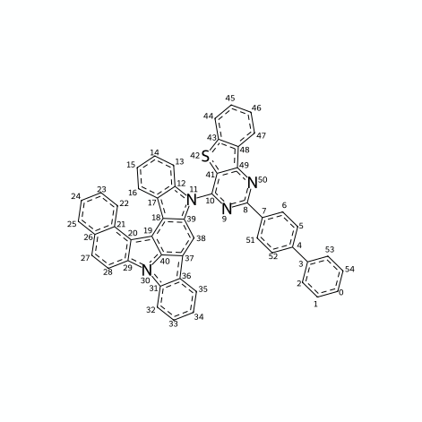 c1ccc(-c2ccc(-c3nc(-n4c5ccccc5c5c6c7c8ccccc8ccc7n7c8ccccc8c(cc54)c67)c4sc5ccccc5c4n3)cc2)cc1